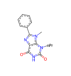 CCCn1c(=O)[nH]c(=O)c2nc(-c3ccccc3)n(C)c21